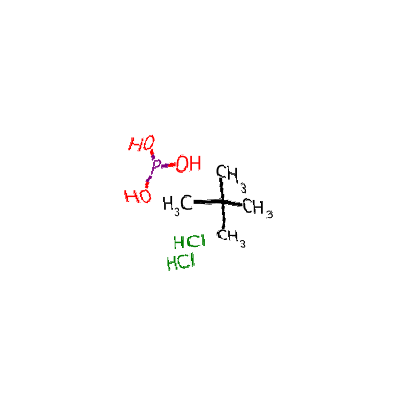 CC(C)(C)C.Cl.Cl.OP(O)O